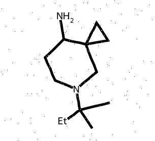 CCC(C)(C)N1CCC(N)C2(CC2)C1